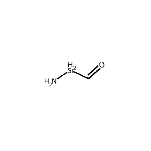 N[SiH2]C=O